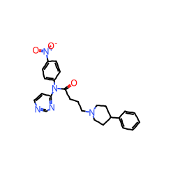 O=C(CCCN1CCC(c2ccccc2)CC1)N(c1ccc([N+](=O)[O-])cc1)c1ccncn1